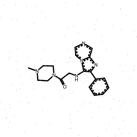 CN1CCN(C(=O)CNc2c(-c3ccccc3)nc3cnccn23)CC1